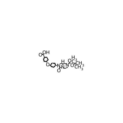 CC(C)(C)OC(=O)N1CCN2C(=O)N(c3ccc(Oc4ccc(C(=O)O)cc4)cc3)C[C@@H]2C1